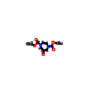 CC(C)(C)OC(=O)N1C=CN(C(=O)OC(C)(C)C)CC(=O)C1